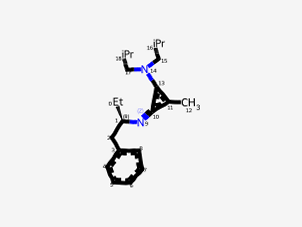 CC[C@H](Cc1ccccc1)/N=c1/c(C)c1N(CC(C)C)CC(C)C